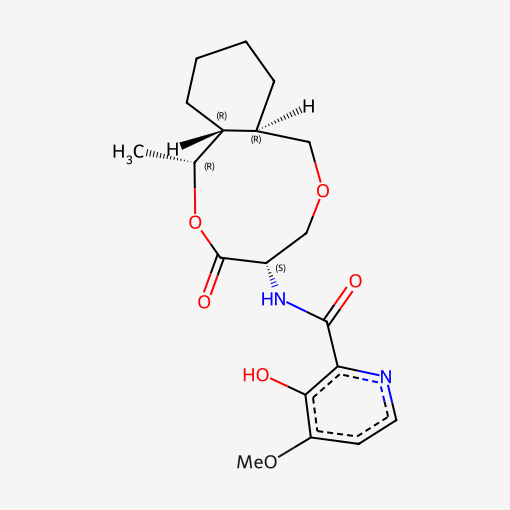 COc1ccnc(C(=O)N[C@H]2COC[C@@H]3CCCC[C@H]3[C@@H](C)OC2=O)c1O